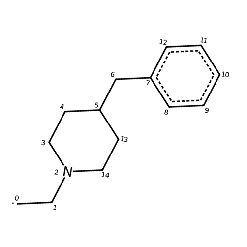 [CH2]CN1CCC(Cc2ccccc2)CC1